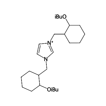 CC(C)COC1CCCCC1Cn1cc[n+](CC2CCCCC2OCC(C)C)c1